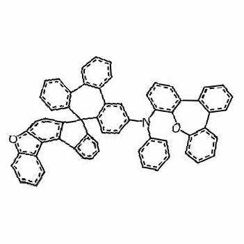 c1ccc(N(c2ccc3c(c2)-c2ccccc2-c2ccccc2C32c3ccccc3-c3c2ccc2oc4ccccc4c32)c2cccc3c2Oc2ccccc2-c2ccccc2-3)cc1